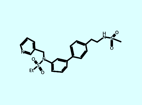 CCS(=O)(=O)N(Cc1cccnc1)c1cccc(-c2ccc(CCNS(C)(=O)=O)cc2)c1